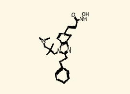 CN(C)CC(C)(C)Cn1c(CCc2ccccc2)nc2cc(C=CC(=O)NO)ccc21